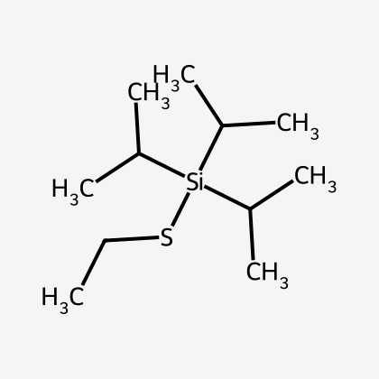 CCS[Si](C(C)C)(C(C)C)C(C)C